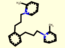 Cc1cccc[n+]1CCCc1ccccc1CCC[n+]1ccccc1C